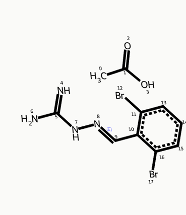 CC(=O)O.N=C(N)N/N=C/c1c(Br)cccc1Br